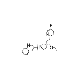 CCOC[C@]1(CCc2ccc(F)cn2)CCN(C(C)(C)c2cnc3ccccc3c2)C1